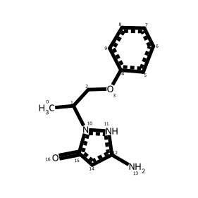 CC(COc1ccccc1)n1[nH]c(N)cc1=O